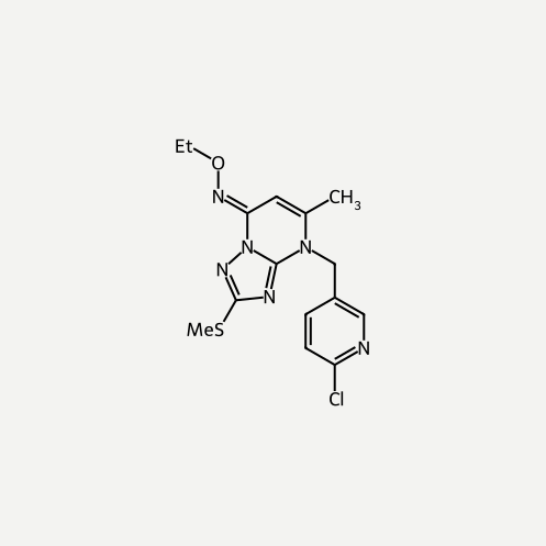 CCO/N=c1\cc(C)n(Cc2ccc(Cl)nc2)c2nc(SC)nn12